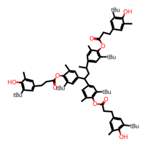 Cc1cc(CCC(=O)Oc2c(C)cc(C(C)CC(c3cc(C)c(OC(=O)CCc4cc(C)c(O)c(C(C)(C)C)c4)c(C(C)(C)C)c3)c3cc(C)c(OC(=O)CCc4cc(C)c(O)c(C(C)(C)C)c4)c(C(C)(C)C)c3)cc2C(C)(C)C)cc(C(C)(C)C)c1O